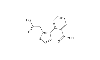 O=C(O)Cc1sccc1-c1ccccc1C(=O)O